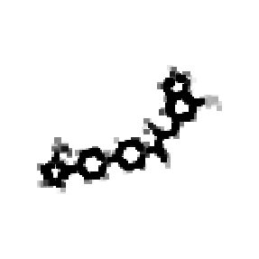 Cc1cc(CC(N)C(=O)N2CCC(N3CCC(c4nncn4C)CC3)CC2)cc2cn[nH]c12